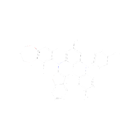 Cc1cc2c3c(c1)N(c1c(C)cc4c(c1C)OCCCO4)c1sc4ccccc4c1B3c1cc(C(C)(C)C)ccc1N2c1ccc(C(C)(C)C)cc1